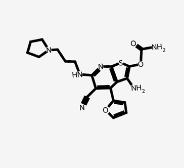 N#Cc1c(NCCCN2CCCC2)nc2sc(OC(N)=O)c(N)c2c1-c1ccco1